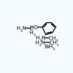 CN.CN.CN.Oc1ccccc1.[BiH3]